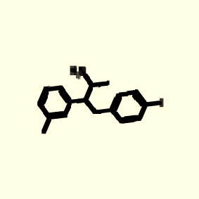 Cc1cccc(C(Cc2ccc(I)cc2)C(C)N)c1